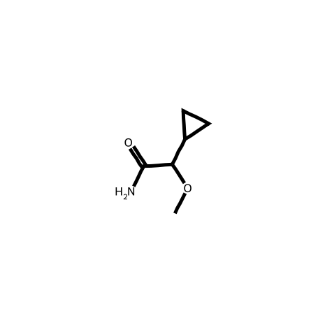 COC(C(N)=O)C1CC1